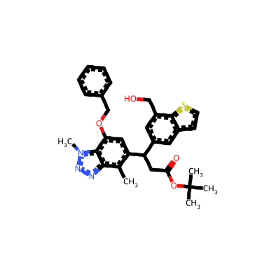 Cc1c(C(CC(=O)OC(C)(C)C)c2cc(CO)c3sccc3c2)cc(OCc2ccccc2)c2c1nnn2C